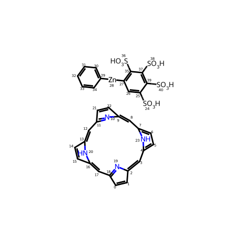 C1=Cc2cc3ccc(cc4nc(cc5ccc(cc1n2)[nH]5)C=C4)[nH]3.O=S(=O)(O)c1c[c]([Zn][c]2ccccc2)c(S(=O)(=O)O)c(S(=O)(=O)O)c1S(=O)(=O)O